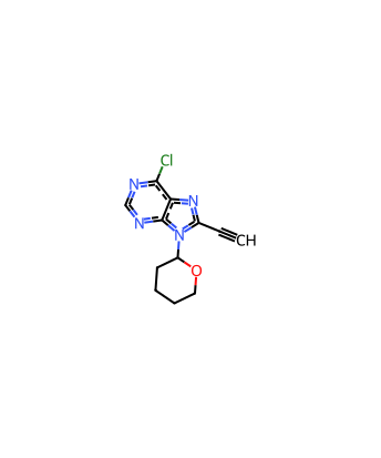 C#Cc1nc2c(Cl)ncnc2n1C1CCCCO1